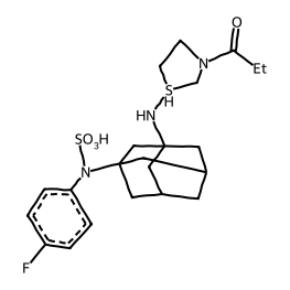 CCC(=O)N1CC[SH](NC23CC4CC(C2)CC(N(c2ccc(F)cc2)S(=O)(=O)O)(C4)C3)C1